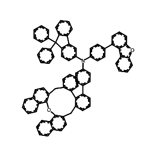 c1ccc(C2(c3ccccc3)c3ccccc3-c3cc(N(c4ccc(-c5cccc6c5-c5ccccc5Cc5ccc7ccccc7c5Oc5c(ccc7ccccc57)C6)cc4)c4ccc(-c5cccc6oc7ccccc7c56)cc4)ccc32)cc1